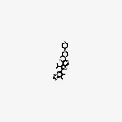 Cc1c(-c2[nH]c3cnc(N4CCN(C5CCOCC5)CC4C)c(F)c3c2C(C)C)cn2ncnc2c1C